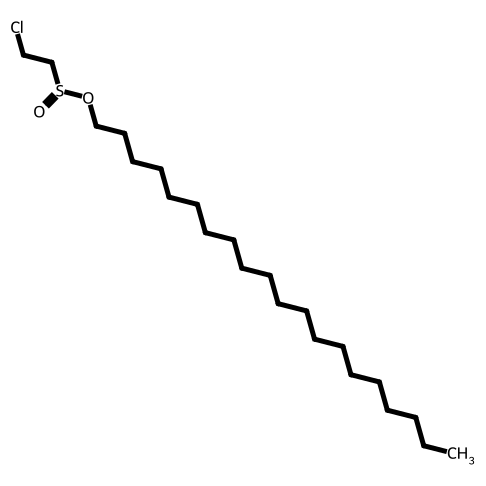 CCCCCCCCCCCCCCCCCCCCOS(=O)CCCl